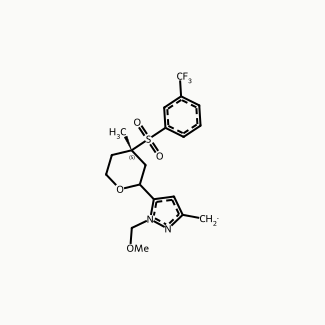 [CH2]c1cc(C2C[C@@](C)(S(=O)(=O)c3cccc(C(F)(F)F)c3)CCO2)n(COC)n1